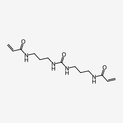 C=CC(=O)NCCCNC(=O)NCCCNC(=O)C=C